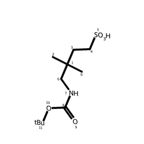 CC(C)(CCS(=O)(=O)O)CNC(=O)OC(C)(C)C